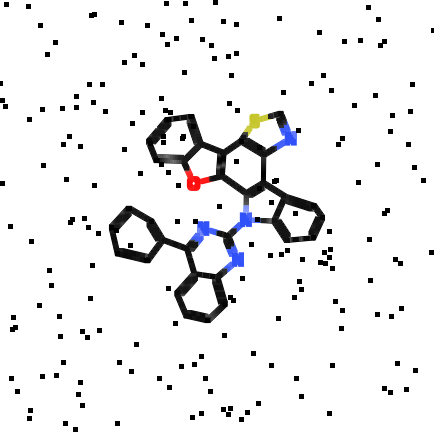 c1ccc(-c2nc(-n3c4ccccc4c4c5ncsc5c5c6ccccc6oc5c43)nc3ccccc23)cc1